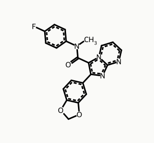 CN(C(=O)c1c(-c2ccc3c(c2)OCO3)nc2ncccn12)c1ccc(F)cc1